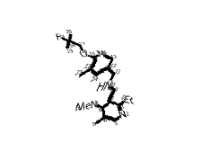 CCC1=NC=C(C)C(NC)/C1=C\NCc1cnc(OCC(C)(C)F)c(C)c1